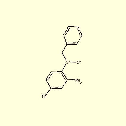 Nc1cc(Cl)ccc1[S+]([O-])Cc1ccccc1